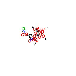 C=CCOC(=O)O[C@@H]1[C@@H](OC(=O)OCC=C)[C@H](Oc2ccc(COC(=O)N(C)CCl)cc2[N+](=O)[O-])O[C@H](C(=O)OCC=C)[C@H]1OC(=O)OCC=C